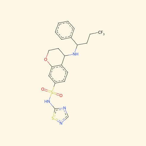 O=S(=O)(Nc1ncns1)c1ccc2c(c1)OCCC2NC(CCC(F)(F)F)c1ccccc1